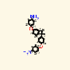 CC1(c2ccc(Oc3ccc(N)cc3)cc2)Cc2cc(Oc3ccc(N)cc3)ccc21